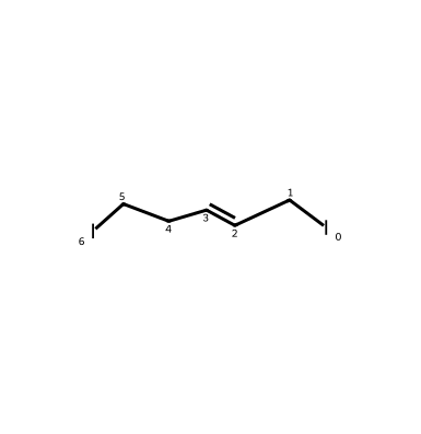 ICC=CCCI